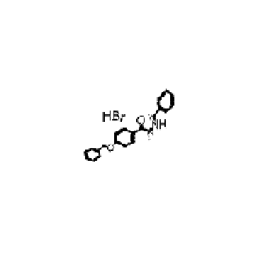 Br.C[C@@H](N[C@H](C)c1ccccc1)C(=O)c1ccc(OCc2ccccc2)cc1